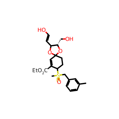 CCOC(=O)C1=CC2(CCC1[SH](C)(=O)Cc1cccc(C)c1)OC(/C=C/O)[C@H](CO)O2